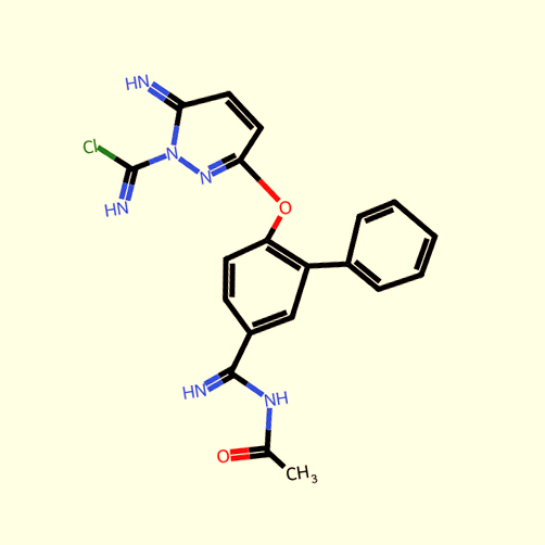 CC(=O)NC(=N)c1ccc(Oc2ccc(=N)n(C(=N)Cl)n2)c(-c2ccccc2)c1